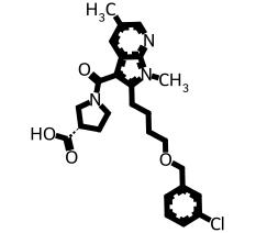 Cc1cnc2c(c1)c(C(=O)N1CC[C@H](C(=O)O)C1)c(CCCCOCc1cccc(Cl)c1)n2C